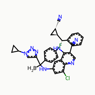 BC(Nc1cc(Cl)c2ncc(C#N)c(N[C@@H](c3ccccc3)[C@H]3C[C@@H]3C#N)c2c1)(c1ccc(F)cc1)c1cn(C2CC2)nn1